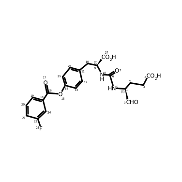 O=C[C@H](CCC(=O)O)NC(=O)N[C@@H](Cc1ccc(OC(=O)c2cccc(F)c2)cc1)C(=O)O